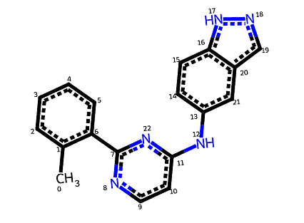 Cc1ccccc1-c1nccc(Nc2ccc3[nH]ncc3c2)n1